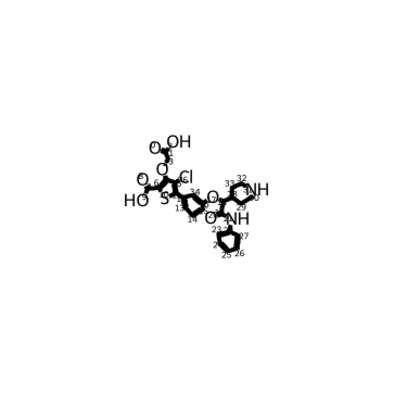 O=C(O)COc1c(C(=O)O)sc(-c2cccc(OC(C(=O)Nc3ccccc3)C3CCNCC3)c2)c1Cl